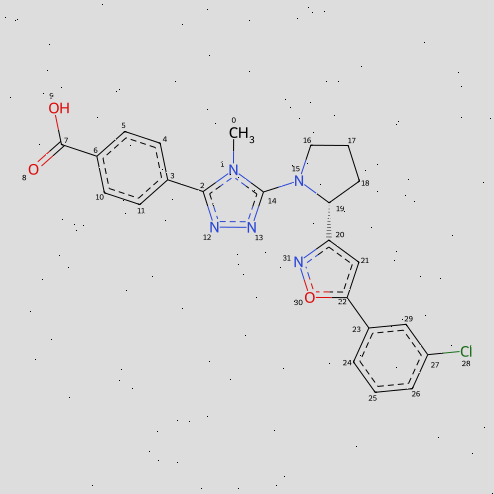 Cn1c(-c2ccc(C(=O)O)cc2)nnc1N1CCC[C@@H]1c1cc(-c2cccc(Cl)c2)on1